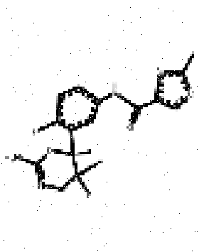 Cc1nc(C(=O)Nc2ccc(F)c([C@@]3(C)OC(N)=NCC3(F)F)c2)co1